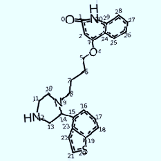 O=c1cc(OCCCCN2CCNCC2c2cccc3sccc23)c2ccccc2[nH]1